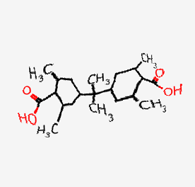 CC1CC(C(C)(C)C2CC(C)C(C(=O)O)C(C)C2)CC(C)C1C(=O)O